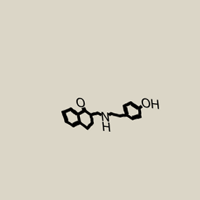 O=C1c2ccccc2CCC1CNCCc1ccc(O)cc1